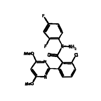 COc1cc(OC)nc(-c2cccc(Cl)c2C(=O)N(N)c2ccc(F)cc2F)n1